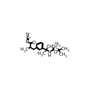 CC(Cc1cccc(C(C)(C)NC(=O)OC(C)(C)C)c1)C(=O)N=[N+]=[N-]